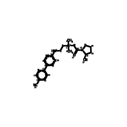 C[N+](C)(CCNc1ncc(-c2ccc(C#N)cc2)cn1)CC(=O)N1CCC[C@H]1C#N